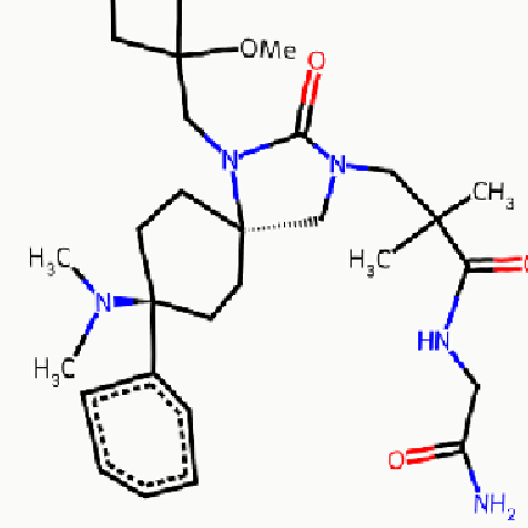 COC1(CN2C(=O)N(CC(C)(C)C(=O)NCC(N)=O)C[C@]23CC[C@](c2ccccc2)(N(C)C)CC3)CCC1